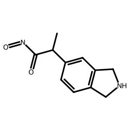 CC(C(=O)N=O)c1ccc2c(c1)CNC2